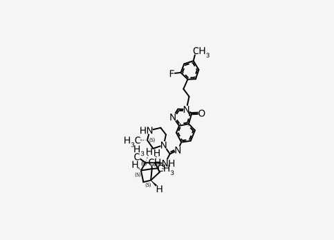 Cc1ccc(CCn2cnc3cc(N=C(N[C@H]4C[C@@H]5C[C@@H]([C@H]4C)C5(C)C)N4CCN[C@@H](C)C4)ccc3c2=O)c(F)c1